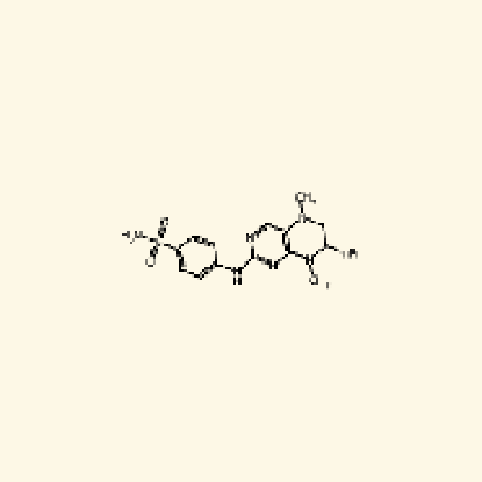 CCCC1CN(C)c2cnc(Nc3ccc(S(N)(=O)=O)cc3)nc2N1C